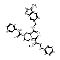 Cn1nnc2cc(CNC(=O)C3CN(C(=O)Oc4ccccc4)CCN3C(=O)C(N)CCc3ccccc3)ccc21